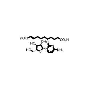 CCCCCCCC/C=C/CCCCCCCC(=O)O.Nc1ccn([C@@H]2O[C@H](CO)[C@@H](O)[C@@H]2O)c(=O)n1